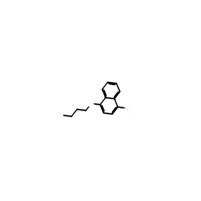 CCCCOc1ccc(N)c2ccccc12